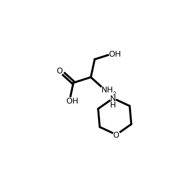 C1COCCN1.NC(CO)C(=O)O